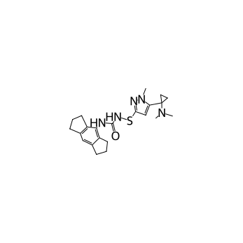 CN(C)C1(c2cc(SNC(=O)Nc3c4c(cc5c3CCC5)CCC4)nn2C)CC1